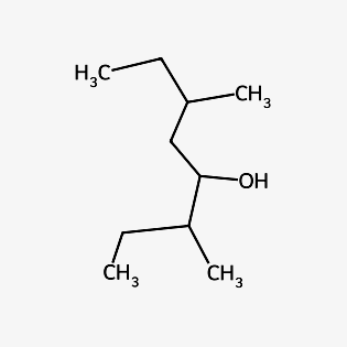 CCC(C)CC(O)C(C)CC